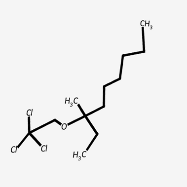 CCCCCCC(C)(CC)OCC(Cl)(Cl)Cl